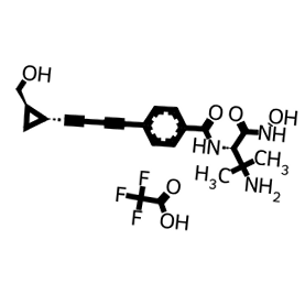 CC(C)(N)[C@H](NC(=O)c1ccc(C#CC#C[C@@H]2C[C@H]2CO)cc1)C(=O)NO.O=C(O)C(F)(F)F